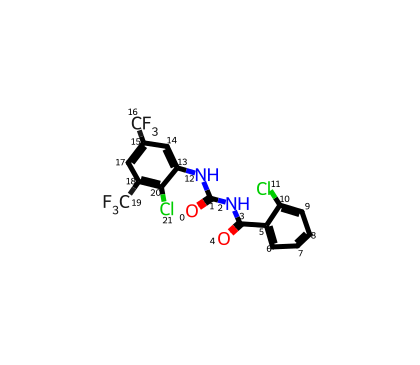 O=C(NC(=O)c1ccccc1Cl)Nc1cc(C(F)(F)F)cc(C(F)(F)F)c1Cl